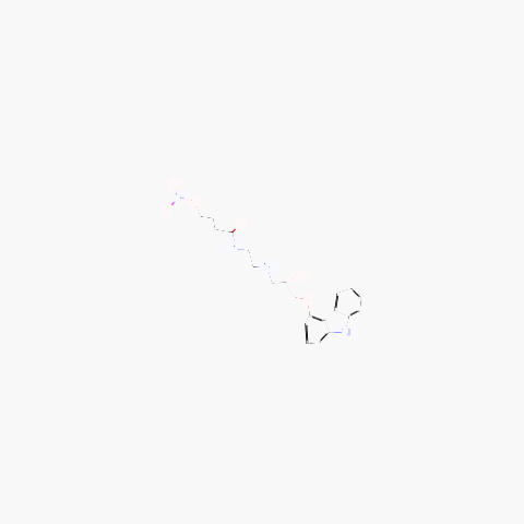 O=C(CCCO[N+](=O)[O-])NCCNCC(O)COc1cccc2[nH]c3ccccc3c12